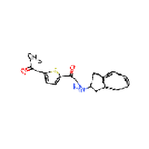 CC(=O)c1ccc(C(=O)NC2Cc3ccccc3C2)s1